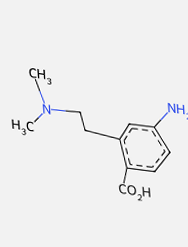 CN(C)CCc1cc(N)ccc1C(=O)O